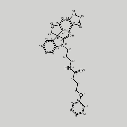 O=C(CCCOc1ccccc1)NCCCN1C(=O)C2(COc3cc4c(cc32)OCO4)c2ccccc21